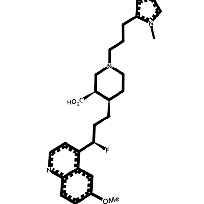 COc1ccc2nccc([C@H](F)CC[C@@H]3CCN(CCCc4cccn4C)C[C@@H]3C(=O)O)c2c1